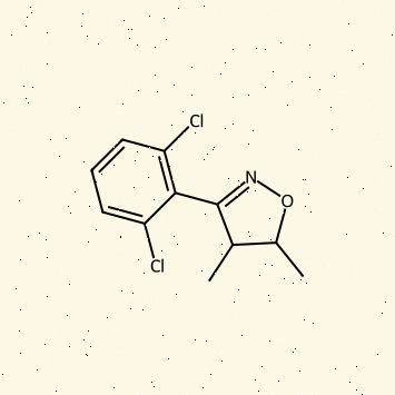 CC1ON=C(c2c(Cl)cccc2Cl)C1C